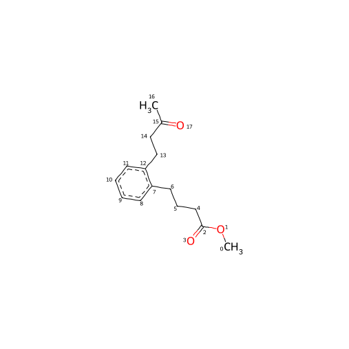 COC(=O)CCCc1ccccc1CCC(C)=O